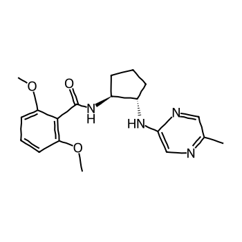 COc1cccc(OC)c1C(=O)N[C@H]1CCC[C@@H]1Nc1cnc(C)cn1